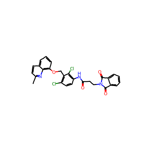 Cc1ccc2cccc(OCc3c(Cl)ccc(NC(=O)CCN4C(=O)c5ccccc5C4=O)c3Cl)c2n1